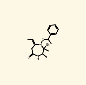 C/C=C1\CC(=O)NC(C)C(C)(CC)N1OC(C)c1ccccc1